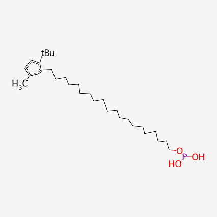 Cc1ccc(C(C)(C)C)c(CCCCCCCCCCCCCCCCCCCCOP(O)O)c1